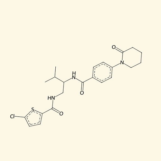 CC(C)C(CNC(=O)c1ccc(Cl)s1)NC(=O)c1ccc(N2CCCCC2=O)cc1